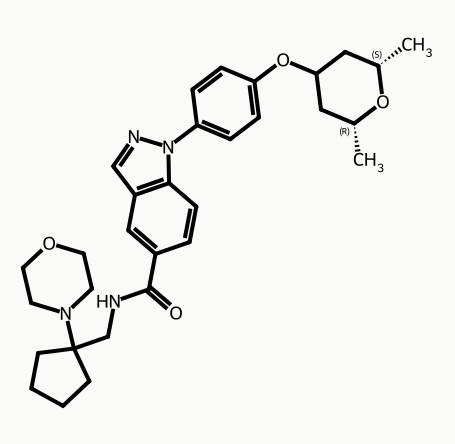 C[C@@H]1CC(Oc2ccc(-n3ncc4cc(C(=O)NCC5(N6CCOCC6)CCCC5)ccc43)cc2)C[C@H](C)O1